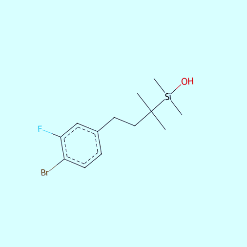 CC(C)(CCc1ccc(Br)c(F)c1)[Si](C)(C)O